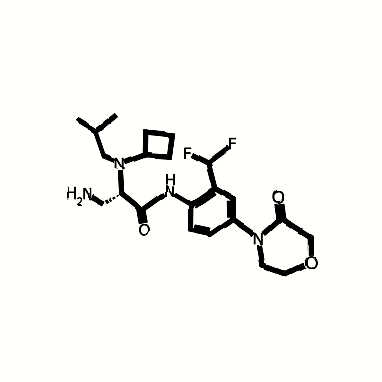 CC(C)CN(C1CCC1)[C@@H](CN)C(=O)Nc1ccc(N2CCOCC2=O)cc1C(F)F